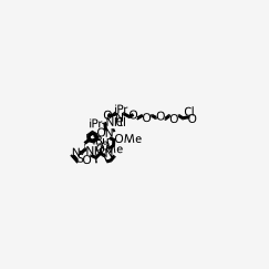 CC[C@H](C)[C@@H]([C@@H](CC(=O)N1CCC[C@H]1[C@H](OC)[C@@H](C)C(=O)N[C@@H](Cc1ccccc1)c1nccs1)OC)N(C)C(=O)[C@@H](NC(=O)[C@H](C(C)C)N(Cl)CCOCCOCCOCCOCCC(=O)Cl)C(C)C